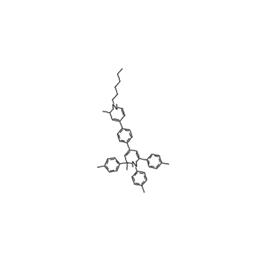 CCCCCCN1C=CC(c2ccc(C3=CC(C)(c4ccc(C)cc4)N(c4ccc(C)cc4)C(c4ccc(C)cc4)=C3)cc2)=CC1C